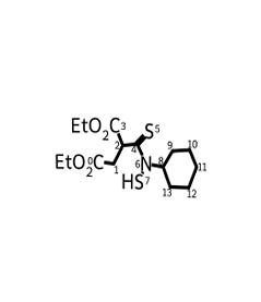 CCOC(=O)CC(C(=O)OCC)C(=S)N(S)C1CCCCC1